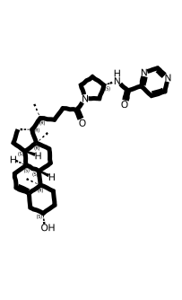 C[C@H](CCC(=O)N1CC[C@H](NC(=O)c2ccncn2)C1)[C@H]1CC[C@H]2[C@@H]3CC=C4C[C@@H](O)CC[C@]4(C)[C@H]3CC[C@]12C